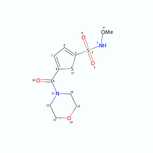 CONS(=O)(=O)c1ccc(C(=O)N2CCOCC2)s1